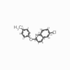 Cc1ccc(Oc2ccc3cc(Cl)ccc3n2)cc1